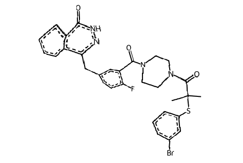 CC(C)(Sc1cccc(Br)c1)C(=O)N1CCN(C(=O)c2cc(Cc3n[nH]c(=O)c4ccccc34)ccc2F)CC1